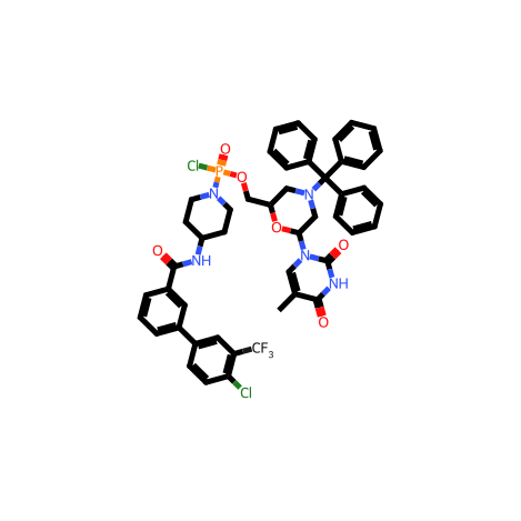 Cc1cn(C2CN(C(c3ccccc3)(c3ccccc3)c3ccccc3)CC(COP(=O)(Cl)N3CCC(NC(=O)c4cccc(-c5ccc(Cl)c(C(F)(F)F)c5)c4)CC3)O2)c(=O)[nH]c1=O